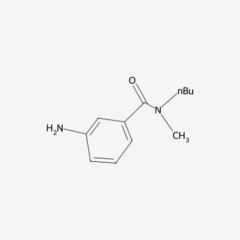 CCCCN(C)C(=O)c1cccc(N)c1